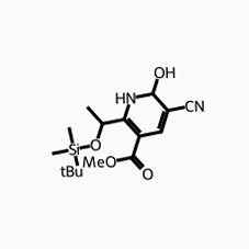 COC(=O)C1=C(C(C)O[Si](C)(C)C(C)(C)C)NC(O)C(C#N)=C1